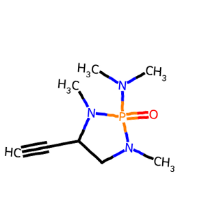 C#CC1CN(C)P(=O)(N(C)C)N1C